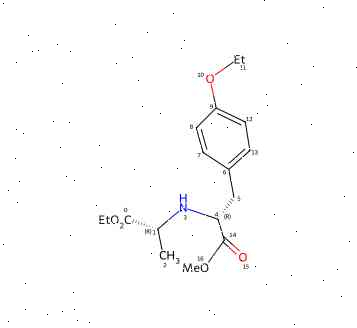 CCOC(=O)[C@@H](C)N[C@H](Cc1ccc(OCC)cc1)C(=O)OC